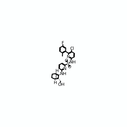 Cc1ccc(F)cc1-c1nc(NS(=O)(=O)c2cccc(N[C@@H]3[C@H](CO)[C@H]4CC[C@@H]3O4)n2)ccc1Cl